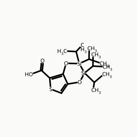 CC(C)[Si]1(C(C)C)Oc2csc(C(=O)O)c2O[Si]1(C(C)C)C(C)C